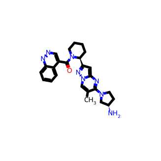 Cc1cn2nc([C@@H]3CCCCN3C(=O)c3cnnc4ccccc34)cc2nc1N1CC[C@H](N)C1